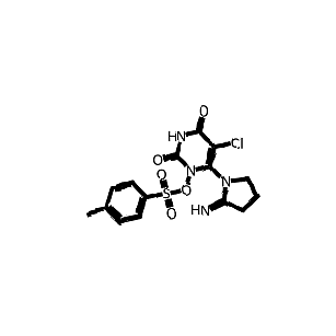 Cc1ccc(S(=O)(=O)On2c(N3CCCC3=N)c(Cl)c(=O)[nH]c2=O)cc1